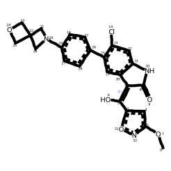 COc1cc(/C(O)=C2\C(=O)Nc3cc(Cl)c(-c4ccc(N5CC6(COC6)C5)cc4)cc32)on1